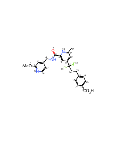 COc1cc(CNC(=O)c2cc(C(F)(F)CCc3ccc(C(=O)O)cc3)cc(C)n2)ccn1